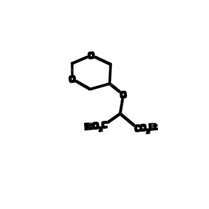 CCOC(=O)C(OC1COCOC1)C(=O)OCC